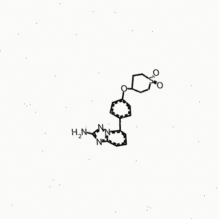 Nc1nc2cccc(-c3ccc(OC4CCS(=O)(=O)CC4)cc3)n2n1